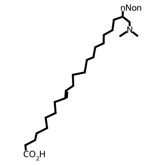 CCCCCCCCCC(CCCCCCCCCCC=CCCCCCCCC(=O)O)CN(C)C